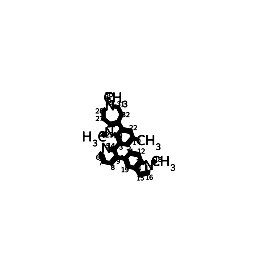 Cc1cc(-c2ncccc2-c2ccc3c(ccn3C)c2)c2c(c1)c1c(n2C)CCN(C)CC1